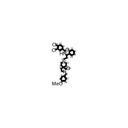 COc1ccc(CN2CCC3(CCN(CCC(NC(=O)c4ccc(Cl)c(Cl)c4)c4ccccc4)CC3)C2=O)cc1